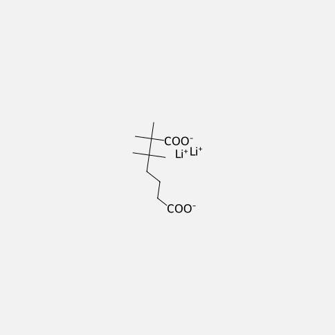 CC(C)(CCCC(=O)[O-])C(C)(C)C(=O)[O-].[Li+].[Li+]